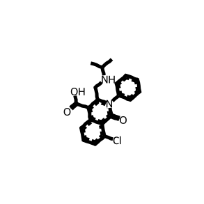 CC(C)NCc1c(C(=O)O)c2cccc(Cl)c2c(=O)n1-c1ccccc1